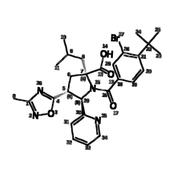 Cc1noc([C@@H]2C[C@@](CC(C)C)(C(=O)O)N(C(=O)c3ccc(C(C)(C)C)c(Br)c3)[C@H]2c2ccccn2)n1